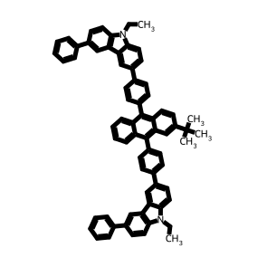 CCn1c2ccc(-c3ccccc3)cc2c2cc(-c3ccc(-c4c5ccccc5c(-c5ccc(-c6ccc7c(c6)c6cc(-c8ccccc8)ccc6n7CC)cc5)c5cc(C(C)(C)C)ccc45)cc3)ccc21